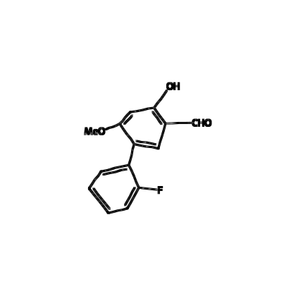 COc1cc(O)c(C=O)cc1-c1ccccc1F